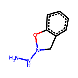 NNN1Cc2ccccc2O1